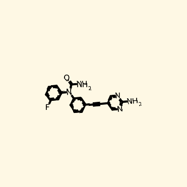 NC(=O)N(c1cccc(F)c1)c1cccc(C#Cc2cnc(N)nc2)c1